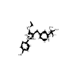 CCOc1nn(-c2ccc(F)cc2)nc1Cc1ccnc(C(F)(F)F)c1